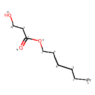 CC(C)CCCCCOC(=O)CCO